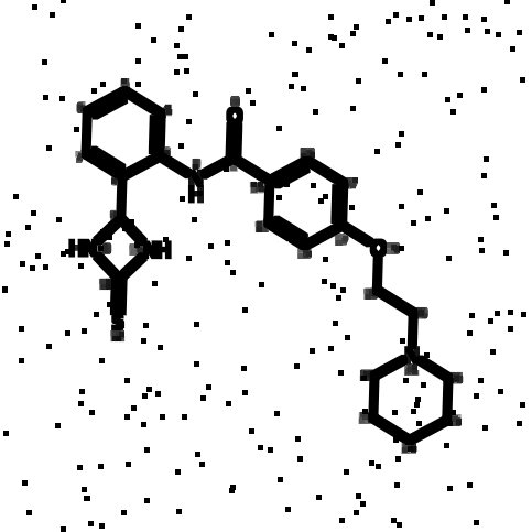 O=C(Nc1ccccc1C1NC(=S)N1)c1ccc(OCCN2CCCCC2)cc1